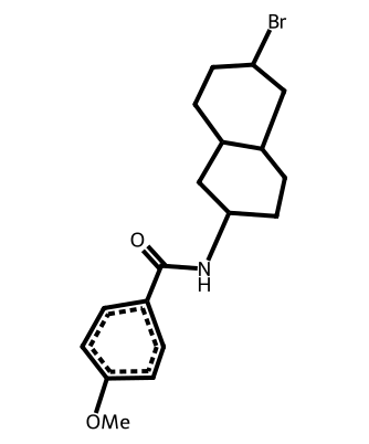 COc1ccc(C(=O)NC2CCC3CC(Br)CCC3C2)cc1